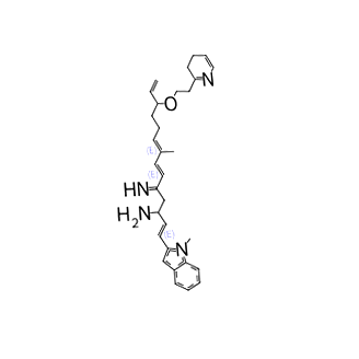 C=CC(CC/C=C(C)/C=C/C(=N)CC(N)/C=C/c1cc2ccccc2n1C)OCCC1=NC=CCC1